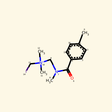 Cc1ccc(C(=O)N(C)C[N+](C)(C)CI)cc1